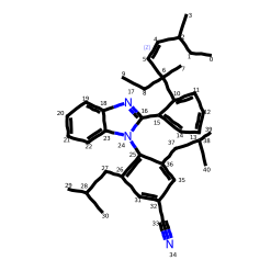 CCC(C)/C=C\C(C)(CC)c1ccccc1-c1nc2ccccc2n1-c1c(CC(C)C)cc(C#N)cc1CC(C)C